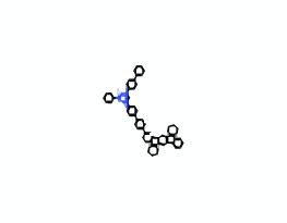 C1=C(c2ccc(-c3ccc(-c4cc(-c5ccc(-c6ccccc6)cc5)nc(-c5ccccc5)n4)cc3)cc2)CCC2=C1C1CC3=C(C=C1C21CCCCC1)c1ccccc1C31CCCCC1